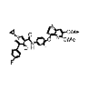 COc1cc2nccc(Oc3ccc(NC(=O)c4cn(C5CC5)cc(-c5ccc(F)cc5)c4=O)cc3F)c2nc1OC